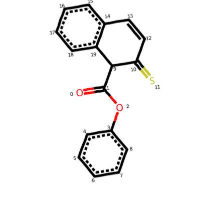 O=C(Oc1ccccc1)C1C(=S)C=Cc2ccccc21